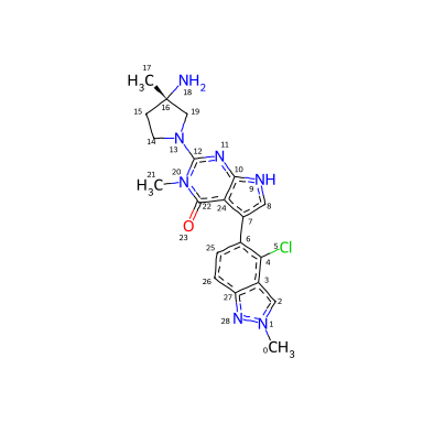 Cn1cc2c(Cl)c(-c3c[nH]c4nc(N5CC[C@](C)(N)C5)n(C)c(=O)c34)ccc2n1